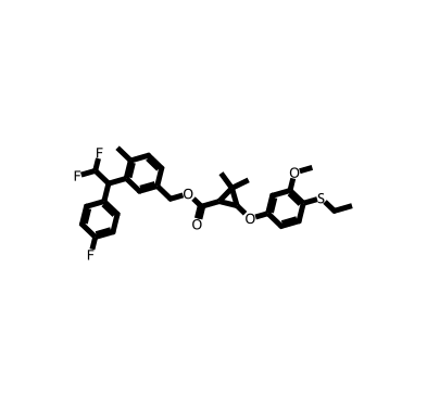 CCSc1ccc(OC2C(C(=O)OCc3ccc(C)c(C(c4ccc(F)cc4)C(F)F)c3)C2(C)C)cc1OC